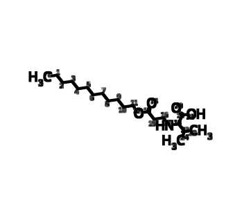 CCCCCCCCCCCCOC(=O)CCNC(C(=O)O)C(C)C